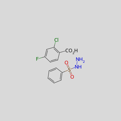 NNS(=O)(=O)c1ccccc1.O=C(O)c1ccc(F)cc1Cl